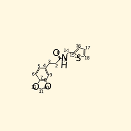 O=C(CCc1ccc2c(c1)OCO2)NCc1cccs1